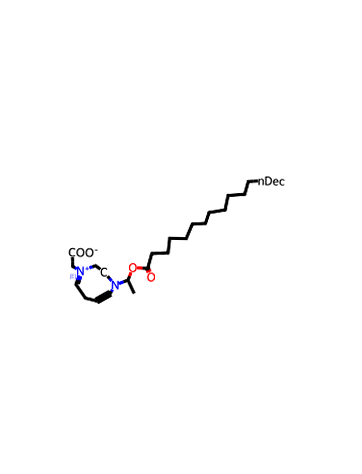 CCCCCCCCCCCCCCCCCCCCCC(=O)OC(C)N1C#CC/C=[N+](/CC(=O)[O-])CC1